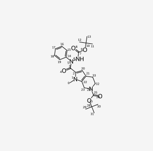 Cn1c(C(=O)N(NC(=O)OC(C)(C)C)c2ccccc2)cc2c1CN(C(=O)OC(C)(C)C)CC2